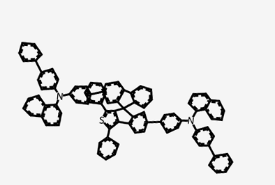 c1ccc(-c2ccc(N(c3ccc(-c4ccc5c(c4)C4(c6ccccc6-5)c5cc(-c6ccc(N(c7ccc(-c8ccccc8)cc7)c7cccc8ccccc78)cc6)ccc5-c5c(-c6ccccc6)sc(-c6ccccc6)c54)cc3)c3cccc4ccccc34)cc2)cc1